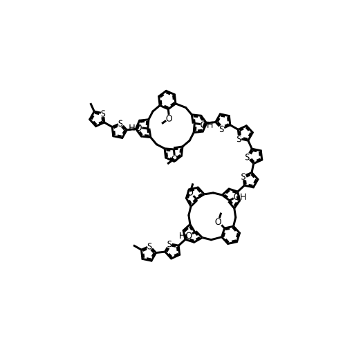 COc1c2cccc1Cc1cc(-c3ccc(-c4ccc(-c5ccc(-c6ccc(-c7cc8c(O)c(c7)Cc7cccc(c7OC)Cc7cc(-c9ccc(-c%10ccc(C)s%10)s9)cc(c7O)Cc7cccc(c7OC)C8)s6)s5)s4)s3)cc(c1O)Cc1cccc(c1OC)Cc1cc(-c3ccc(-c4ccc(C)s4)s3)cc(c1O)C2